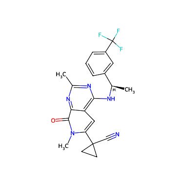 Cc1nc(N[C@H](C)c2cccc(C(F)(F)F)c2)c2cc(C3(C#N)CC3)n(C)c(=O)c2n1